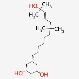 CC(C)(O)/C=C/CC(C)(C)CCC/C=C/C=C1C[C@@H](O)C[C@H](O)C1